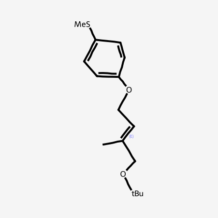 CSc1ccc(OC/C=C(\C)COC(C)(C)C)cc1